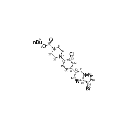 CCCCOC(=O)N1CCN(c2ccc(-c3cnc4c(Br)cnn4c3)cc2Cl)CC1